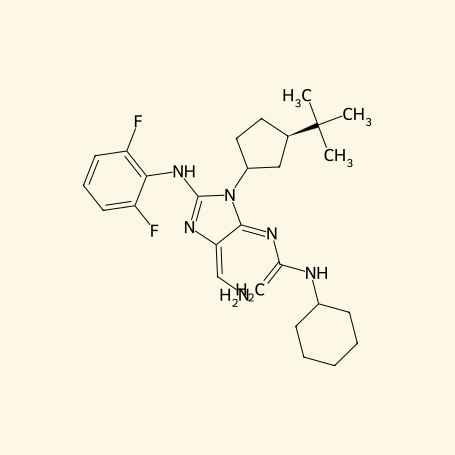 C=C(/N=C1\C(=C/N)N=C(Nc2c(F)cccc2F)N1C1CC[C@@H](C(C)(C)C)C1)NC1CCCCC1